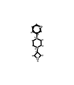 c1cncc(N2CCN(C3COC3)CC2)c1